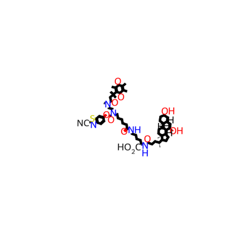 CC1=C(C)C(=O)C(C(C)(C)CC(=O)N(C)CCN(CCCCCC(=O)NCCCCC(NC(=O)CC[C@@H](C)C2CC[C@H]3[C@@H]4[C@H](O)C[C@@H]5C[C@H](O)CC[C@]5(C)[C@H]4CC[C@]23C)C(=O)O)C(=O)Oc2ccc3nc(C#N)sc3c2)=C(C)C1=O